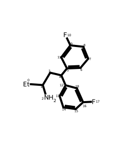 CCC(N)CC(c1cccc(F)c1)c1cccc(F)c1